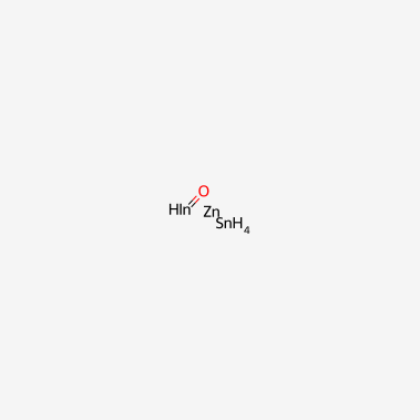 [O]=[InH].[SnH4].[Zn]